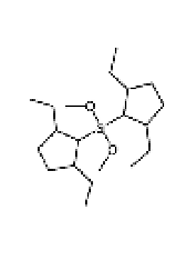 CCC1CCC(CC)C1[Si](OC)(OC)C1C(CC)CCC1CC